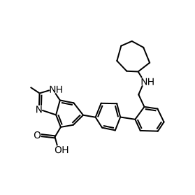 Cc1nc2c(C(=O)O)cc(-c3ccc(-c4ccccc4CNC4CCCCCC4)cc3)cc2[nH]1